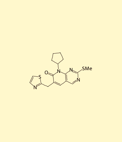 CSc1ncc2cc(Cc3nccs3)c(=O)n(C3CCCC3)c2n1